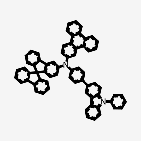 c1ccc(-n2c3ccccc3c3cc(-c4ccc(N(c5ccc6c(c5)-c5ccccc5C65c6ccccc6-c6ccccc65)c5ccc6c7ccccc7c7ccccc7c6c5)cc4)ccc32)cc1